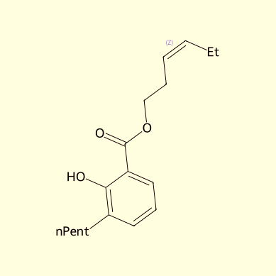 CC/C=C\CCOC(=O)c1cccc(CCCCC)c1O